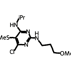 COCCCNc1nc(Cl)c(SC)c(NC(C)C)n1